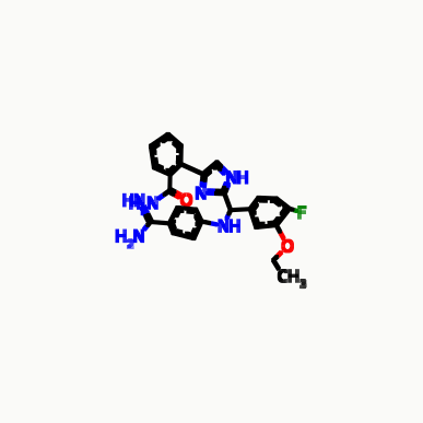 CCOc1cc(C(Nc2ccc(C(=N)N)cc2)c2nc(-c3ccccc3C(N)=O)c[nH]2)ccc1F